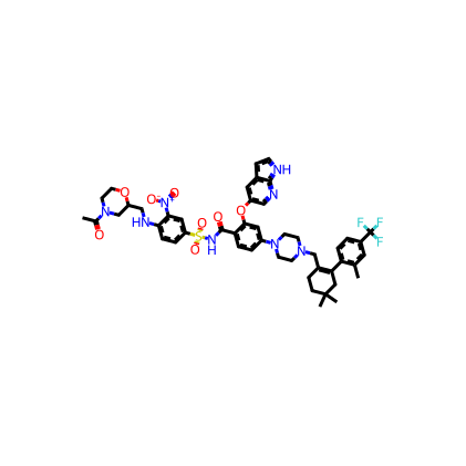 CC(=O)N1CCOC(CNc2ccc(S(=O)(=O)NC(=O)c3ccc(N4CCN(CC5=C(c6ccc(C(F)(F)F)cc6C)CC(C)(C)CC5)CC4)cc3Oc3cnc4[nH]ccc4c3)cc2[N+](=O)[O-])C1